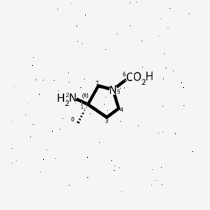 C[C@@]1(N)CCN(C(=O)O)C1